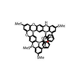 CSc1cc2c3c(c1)Oc1c(oc4ccccc14)B3c1cc3c(cc1N2)Oc1cc(SC)cc2c1B3c1cc3c(cc1O2)N(SC)c1cc(SC)cc2c1B3c1oc3ccccc3c1O2